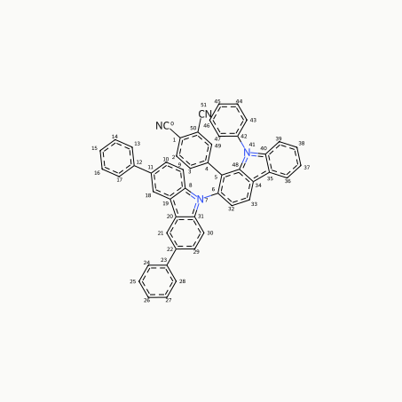 N#Cc1ccc(-c2c(-n3c4ccc(-c5ccccc5)cc4c4cc(-c5ccccc5)ccc43)ccc3c4ccccc4n(-c4ccccc4)c23)cc1C#N